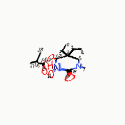 CCC1(CC)CN(C)C(=O)N(O)C1OC(=O)C(C)C